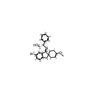 COC1CCC2(CC1)Cc1ccc(Br)cc1C2=N[C@H](CO)c1ccccc1